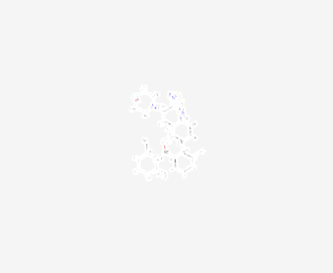 Cc1cccc(C(=O)N2[C@H](C)CCC[C@@H]2C)c1-c1ccc2nc(N)c(N3CCOCC3)cc2c1